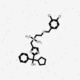 C[N+](C)(CCOCc1ccc(Cl)c(Cl)c1)Cc1cnc(C(O)(c2ccccc2)C2CCCC2)o1